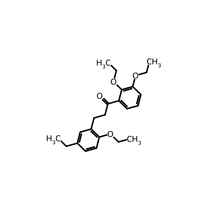 CCOc1ccc(CC)cc1CCC(=O)c1cccc(OCC)c1OCC